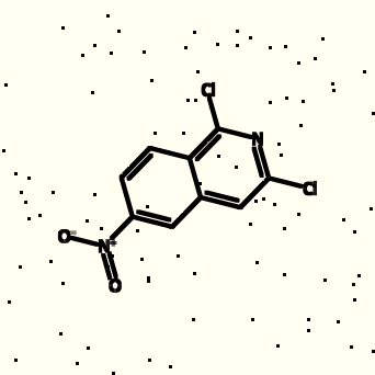 O=[N+]([O-])c1ccc2c(Cl)nc(Cl)cc2c1